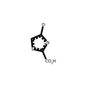 [O]c1csc(C(=O)O)n1